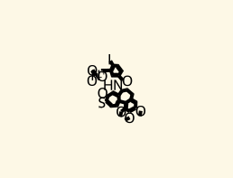 COc1cc2c(c(OC)c1OC)-c1ccc(SC)c(=O)cc1[C@@H](NC(=O)c1ccc(I)c(CO[N+](=O)[O-])c1)CC2